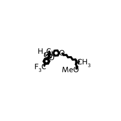 COCCN(C)CCCCCCOC1CCC(N(C)S(=O)(=O)c2ccc(C(F)(F)F)cc2)CC1